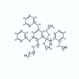 CCCC(CC)(Pc1ccccc1CO)c1cc(Cc2ccccc2)cc(Cc2ccccc2)c1OCOC